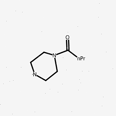 CCCC(=O)N1CC[N]CC1